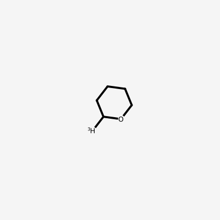 [3H]C1CCCCO1